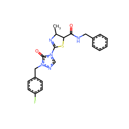 CC1N=C(n2cnn(Cc3ccc(F)cc3)c2=O)SC1C(=O)NCc1ccccc1